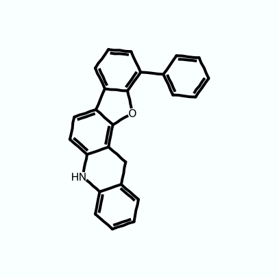 c1ccc(-c2cccc3c2oc2c4c(ccc23)Nc2ccccc2C4)cc1